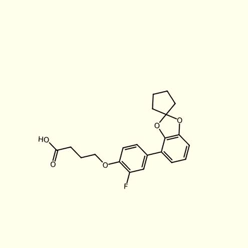 O=C(O)CCCOc1ccc(-c2cccc3c2OC2(CCCC2)O3)cc1F